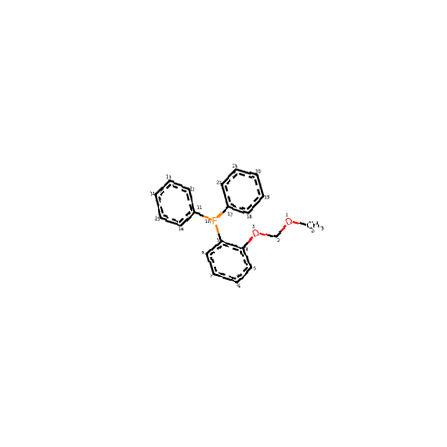 COCOc1ccccc1P(c1ccccc1)c1ccccc1